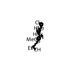 C#CN(CC)CCCCCOc1cc2ncnc(Nc3ccc(NC(=O)c4cccc(Cl)c4)nc3)c2cc1OC